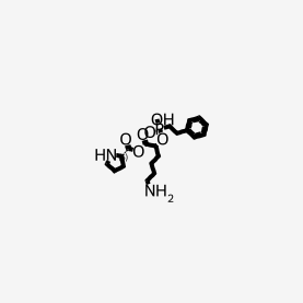 NCCCCC(OP(=O)(O)CCc1ccccc1)C(=O)OC(=O)[C@@H]1CCCN1